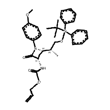 C=CCOC(=O)N[C@@H]1C(=O)N(c2ccc(OC)cc2)[C@@H]1[C@@H](C)CO[Si](c1ccccc1)(c1ccccc1)C(C)(C)C